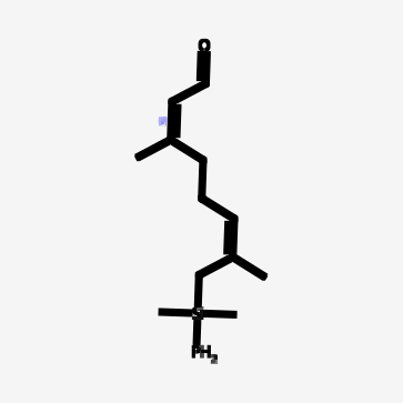 CC(=CCC/C(C)=C\C=O)C[Si](C)(C)P